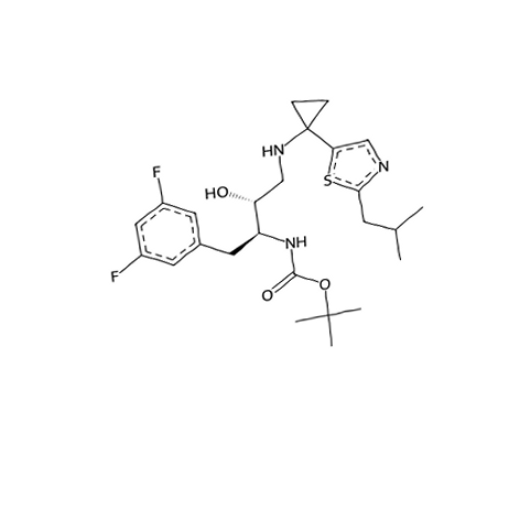 CC(C)Cc1ncc(C2(NC[C@@H](O)[C@H](Cc3cc(F)cc(F)c3)NC(=O)OC(C)(C)C)CC2)s1